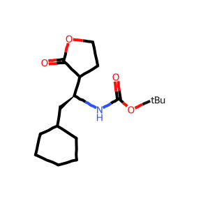 CC(C)(C)OC(=O)N[C@@H](CC1CCCCC1)C1CCOC1=O